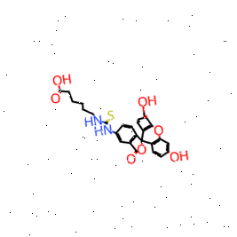 O=C(O)CCCCCNC(=S)Nc1ccc2c(c1)C(=O)OC21c2ccc(O)cc2Oc2cc(O)ccc21